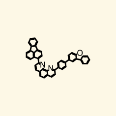 c1ccc2c(c1)-c1cccc3c(-c4ccc5ccc6ccc(-c7ccc(-c8ccc9oc%10ccccc%10c9c8)cc7)nc6c5n4)ccc-2c13